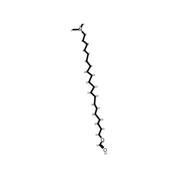 CN(C)CCCCCCCCCCCCCCCCCCCCO[C]=O